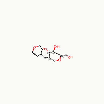 OC[C@H]1OC[C@@H](CC2CCOCC2)[C@@H](O)[C@H]1O